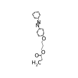 C=CC(=O)OCCCOc1ccc(N=Nc2ccccc2)cc1